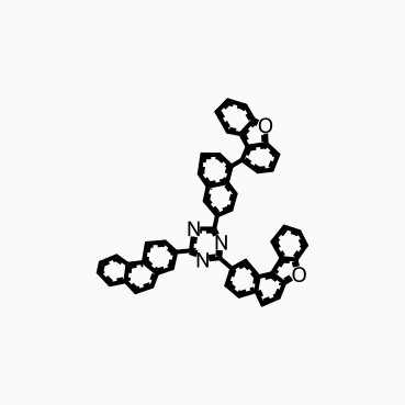 c1cc(-c2cccc3oc4ccccc4c23)c2ccc(-c3nc(-c4ccc5c(ccc6ccccc65)c4)nc(-c4ccc5ccc6oc7ccccc7c6c5c4)n3)cc2c1